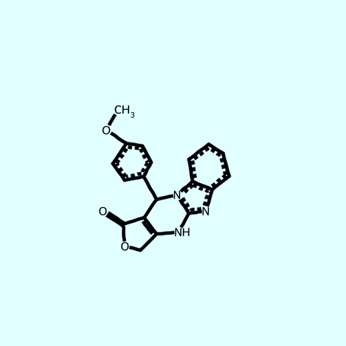 COc1ccc(C2C3=C(COC3=O)Nc3nc4ccccc4n32)cc1